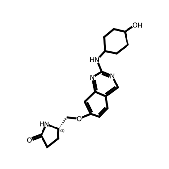 O=C1CC[C@@H](COc2ccc3cnc(NC4CCC(O)CC4)nc3c2)N1